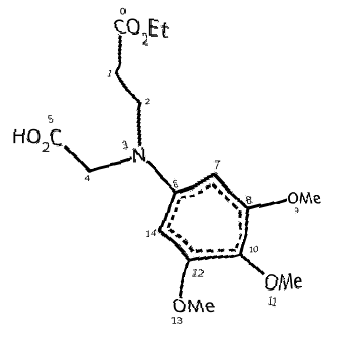 CCOC(=O)CCN(CC(=O)O)c1cc(OC)c(OC)c(OC)c1